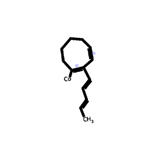 CC=CC=CC1=[C](\[Co])CCCC/C=C\1